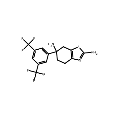 Nc1nc2c(s1)CC(N)(c1cc(C(F)(F)F)cc(C(F)(F)F)c1)CC2